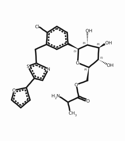 CC(N)C(=O)OC[C@H]1O[C@@H](c2ccc(Cl)c(Cc3ncc(-c4ccco4)s3)c2)[C@H](O)[C@@H](O)[C@@H]1O